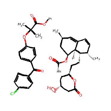 CC(C)OC(=O)C(C)(C)Oc1ccc(C(=O)c2ccc(Cl)cc2)cc1.CC[C@H](C)C(=O)O[C@H]1C[C@@H](C)C=C2C=C[C@H](C)[C@H](CC[C@@H]3C[C@@H](O)CC(=O)O3)[C@H]21